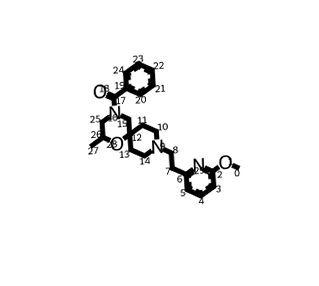 COc1cccc(CCN2CCC3(CC2)CN(C(=O)c2ccccc2)CC(C)O3)n1